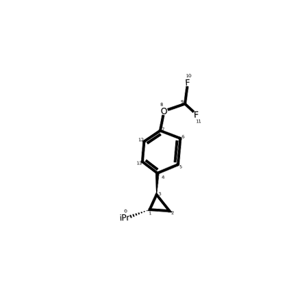 CC(C)[C@H]1C[C@@H]1c1ccc(OC(F)F)cc1